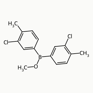 COB(c1ccc(C)c(Cl)c1)c1ccc(C)c(Cl)c1